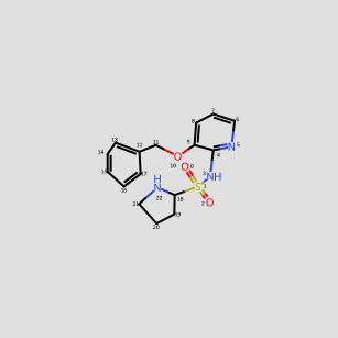 O=S(=O)(Nc1ncccc1OCc1ccccc1)C1CCCN1